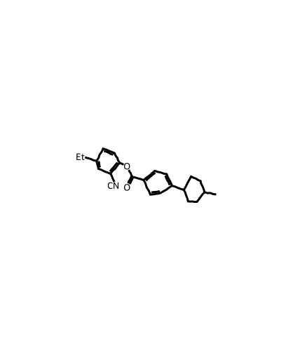 CCc1ccc(OC(=O)c2ccc(C3CCC(C)CC3)cc2)c(C#N)c1